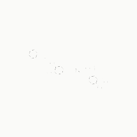 CC(OCC1COc2ccc(CCNCC(O)c3ccc4c(c3)COC(C)(C)O4)cc2O1)c1ccccc1